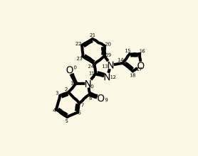 O=C1c2ccccc2C(=O)N1c1nn(-c2ccoc2)c2ccccc12